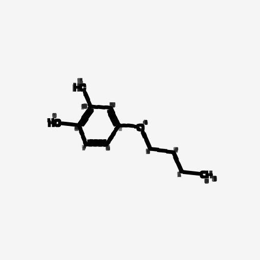 CCCCOc1ccc(O)c(O)c1